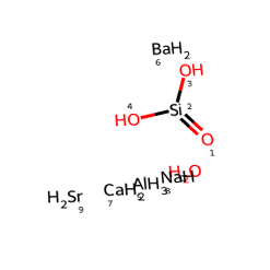 O.O=[Si](O)O.[AlH3].[BaH2].[CaH2].[NaH].[SrH2]